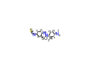 CN(C)c1ccc(/N=N/c2ccc(N=C=S)cc2S(=O)(=O)O)cc1